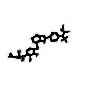 [CH2]C(OC)C(c1ccc(-c2cc3nccc(Oc4ccc(NC(=O)NC5CC5)c(F)c4F)c3s2)nc1)C(C)(C)C